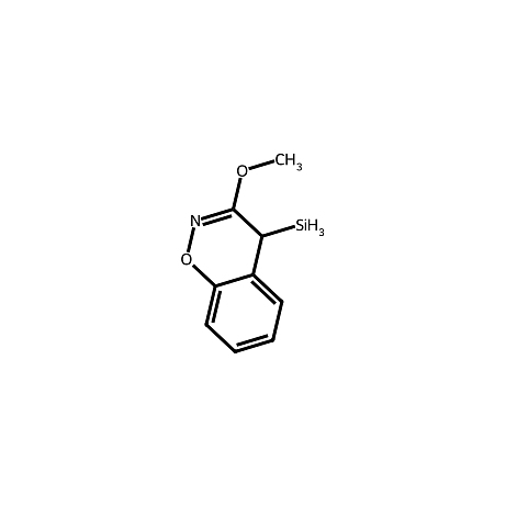 COC1=NOc2ccccc2C1[SiH3]